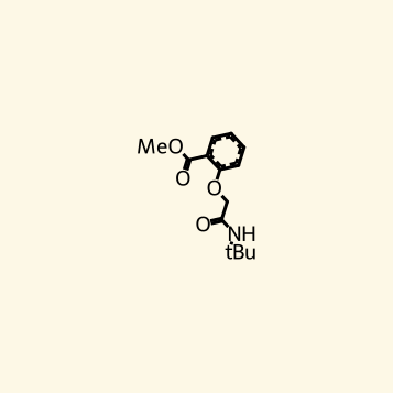 COC(=O)c1ccccc1OCC(=O)NC(C)(C)C